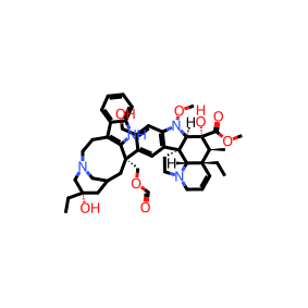 CC[C@]1(O)CC2CN(CCc3c([nH]c4ccccc34)[C@@](COC=O)(c3cc4c(cc3CO)N(OC)[C@H]3[C@@](O)(C(=O)OC)[C@@H](C)[C@]5(CC)C=CCN6CC[C@]43[C@@H]65)C2)C1